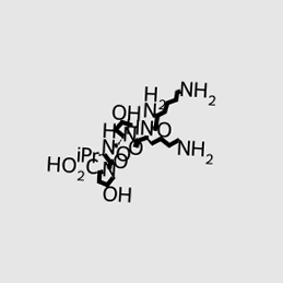 CC(C)[C@H](NC(=O)[C@@H]1C[C@@H](O)CN1C(=O)[C@H](CCCCN)NC(=O)[C@@H](N)CCCCN)C(=O)N1C[C@H](O)C[C@H]1C(=O)O